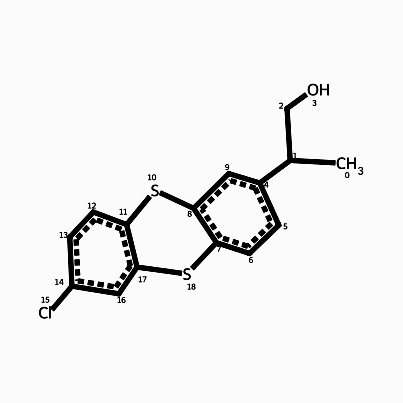 CC(CO)c1ccc2c(c1)Sc1ccc(Cl)cc1S2